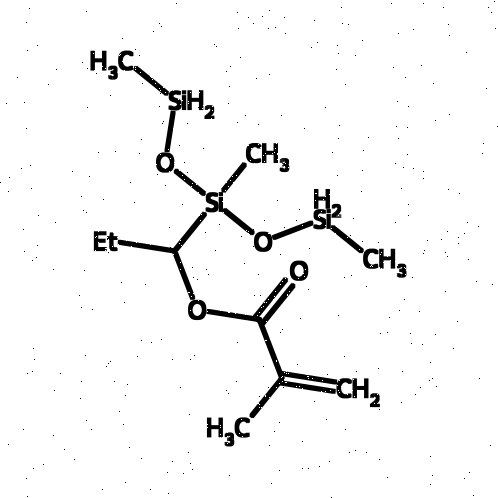 C=C(C)C(=O)OC(CC)[Si](C)(O[SiH2]C)O[SiH2]C